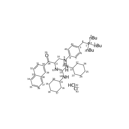 CCCC[P+](CCCC)(CCCC)Cc1ccc(NCC(N=C(NC2CCCCC2)NC2CCCCC2)C(=O)c2ccc3ccccc3c2)cc1.Cl.[Cl-]